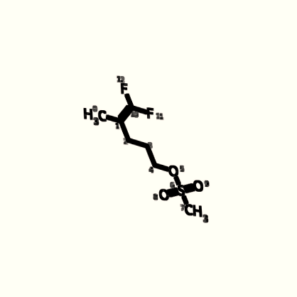 CC(CCCOS(C)(=O)=O)=C(F)F